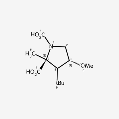 CO[C@H]1CN(C(=O)O)[C@](C)(C(=O)O)C1C(C)(C)C